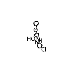 Oc1cc(OCc2ccccc2)ccc1-n1nc2ccc(Cl)cc2n1